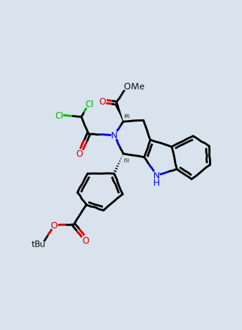 COC(=O)[C@H]1Cc2c([nH]c3ccccc23)[C@H](c2ccc(C(=O)OC(C)(C)C)cc2)N1C(=O)C(Cl)Cl